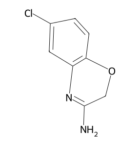 NC1=Nc2cc(Cl)ccc2OC1